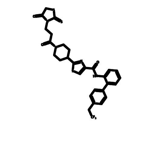 O=C(Nc1ccccc1-c1ccc(CC(F)(F)F)cc1)c1csc(C2CCN(C(=O)CCN3C(=O)CSC3=S)CC2)n1